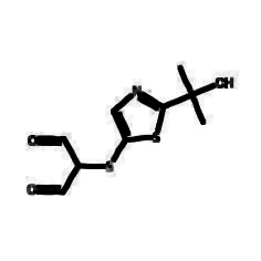 CC(C)(O)c1ncc(SC(C=O)C=O)s1